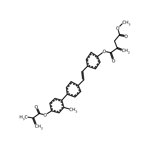 C=C(C)C(=O)Oc1ccc(-c2ccc(/C=C/c3ccc(OC(=O)C(=C)CC(=O)OC)cc3)cc2)c(C)c1